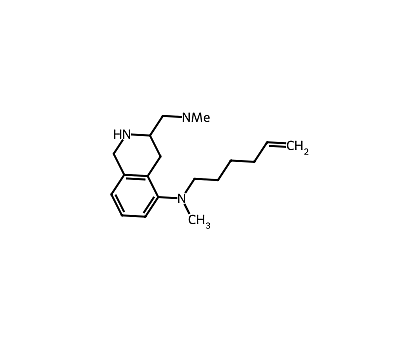 C=CCCCCN(C)c1cccc2c1CC(CNC)NC2